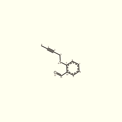 CC#CCSc1ccccc1C=O